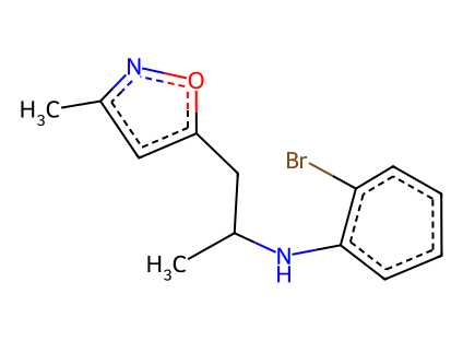 Cc1cc(CC(C)Nc2ccccc2Br)on1